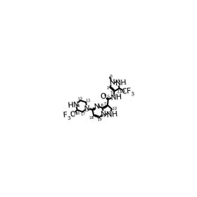 CN1C=C(NC(=O)C2=C3N=C(N4CCNC(C(F)(F)F)C4)C=CN3NC2)C(C(F)(F)F)N1